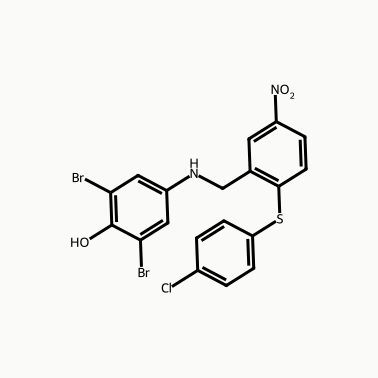 O=[N+]([O-])c1ccc(Sc2ccc(Cl)cc2)c(CNc2cc(Br)c(O)c(Br)c2)c1